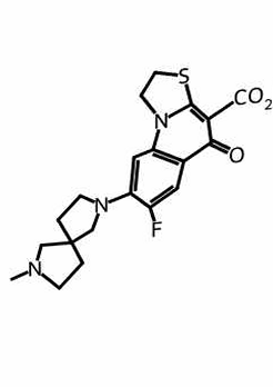 CN1CCC2(CCN(c3cc4c(cc3F)c(=O)c(C(=O)O)c3n4CCS3)C2)C1